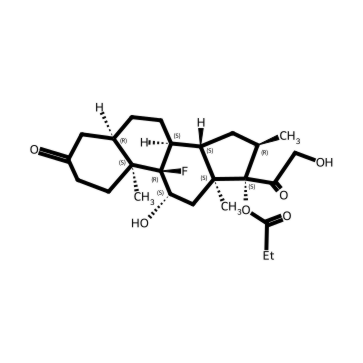 CCC(=O)O[C@@]1(C(=O)CO)[C@H](C)C[C@H]2[C@@H]3CC[C@@H]4CC(=O)CC[C@]4(C)[C@@]3(F)[C@@H](O)C[C@@]21C